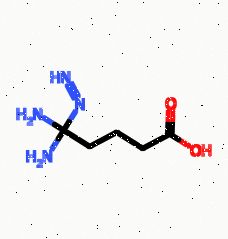 N=NC(N)(N)CCCC(=O)O